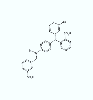 CCC1=CC(=C(c2ccc(N(CC)Cc3cccc(S(=O)(=O)O)c3)cc2)c2ccccc2S(=O)(=O)O)C=C[C]1